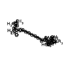 CCC(C1CCCCC1)C1CC(C2CCC(OCCOCCOCCOCCOCCOCCCC(=O)c3ccc(CC4OC5C(O)CCCC5C5C4CC(CC(C)(C)O)[C@]5(O)C4CCC(C)CC4C)c(OC)c3)CC2)CC(C(=O)CCC2C(=O)CC(C)CC2C)C1C